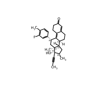 CC#C[C@]1(O)[C@H](C)C[C@H]2[C@@H]3CCC4=CC(=O)CCC4=C3[C@@H](c3ccc(C)c(F)c3)C[C@@]21C